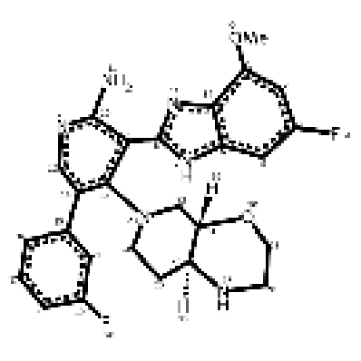 COc1cc(F)cc2[nH]c(-c3c(N)ncc(-c4cccc(F)c4)c3N3CC[C@@H]4NCCO[C@H]4C3)nc12